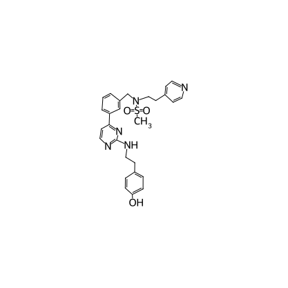 CS(=O)(=O)N(CCc1ccncc1)Cc1cccc(-c2ccnc(NCCc3ccc(O)cc3)n2)c1